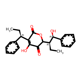 CC[C@@H](C1=C(O)C(=O)C([C@H](CC)[C@@H](O)c2ccccc2)OC1=O)c1ccccc1